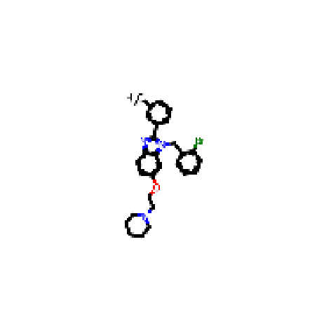 Cc1cccc(-c2nc3ccc(OCCN4CCCCC4)cc3n2Cc2ccccc2Br)c1